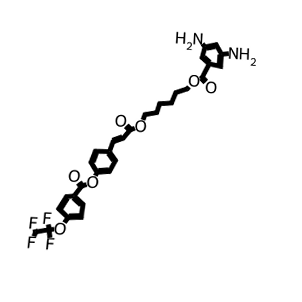 Nc1cc(N)cc(C(=O)OCCCCCCOC(=O)C=Cc2ccc(OC(=O)c3ccc(OC(F)(F)C(F)F)cc3)cc2)c1